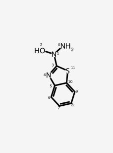 NN(O)c1nc2ccccc2s1